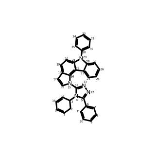 C1=CCC(n2c(-c3ccccc3)nnc2-n2ccc3ccc4c(c5ccccc5n4-c4ccccc4)c32)C=C1